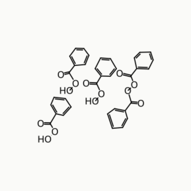 O=C(OO)c1ccccc1.O=C(OO)c1ccccc1.O=C(OO)c1ccccc1.O=C(OOC(=O)c1ccccc1)c1ccccc1